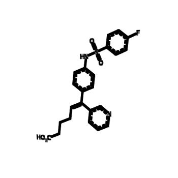 O=C(O)CCCC=C(c1ccc(NS(=O)(=O)c2ccc(F)cc2)cc1)c1cccnc1